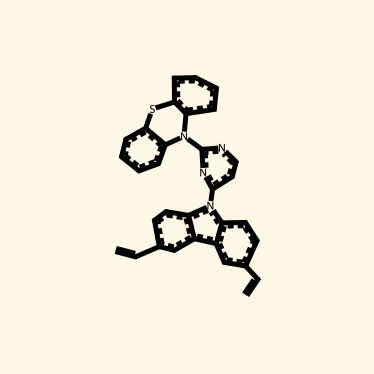 C=Cc1ccc2c(c1)c1cc(C=C)ccc1n2-c1ccnc(N2c3ccccc3Sc3ccccc32)n1